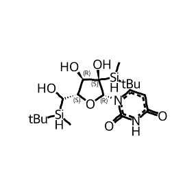 C[SiH](C(O)[C@H]1O[C@@H](n2ccc(=O)[nH]c2=O)[C@@](O)([SiH](C)C(C)(C)C)[C@@H]1O)C(C)(C)C